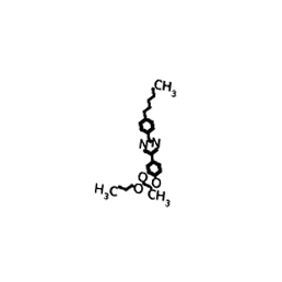 CCCCCCc1ccc(-c2ncc(-c3ccc(OC(C)C(=O)OCCCC)cc3)cn2)cc1